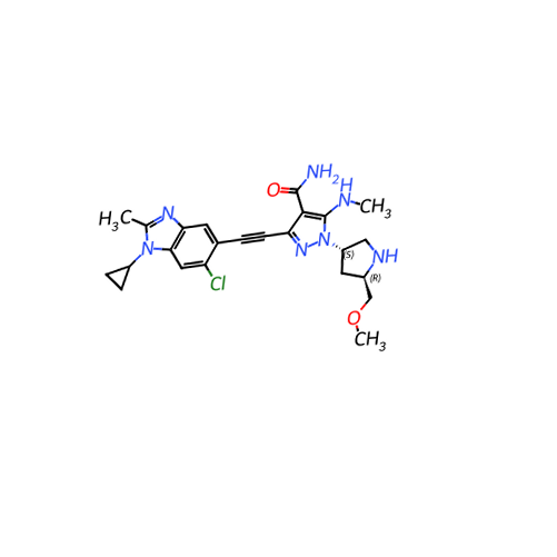 CNc1c(C(N)=O)c(C#Cc2cc3nc(C)n(C4CC4)c3cc2Cl)nn1[C@@H]1CN[C@@H](COC)C1